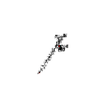 CCCCCCCCCCCCCCCCCCCC[C@H](COP(=O)(O)OC)OCc1cc(F)cc(C#N)c1